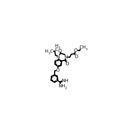 CCOC(=O)CCN1CC(=O)N(CC(C)C)c2ccc(OCc3cccc(C(=N)N)c3)cc2C1=O